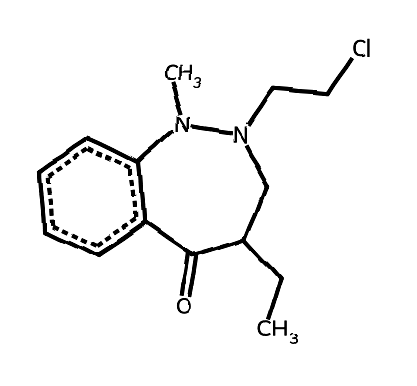 CCC1CN(CCCl)N(C)c2ccccc2C1=O